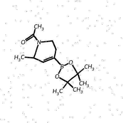 CC(=O)N1CCC(B2OC(C)(C)C(C)(C)O2)=CC1C